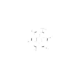 O=C(O[C@H]1[C@H](OC(=O)C(F)(F)F)[C@H](OC(=O)C(F)(F)F)[C@@H](OC(=O)C(F)(F)F)[C@H](OC(=O)C(F)(F)F)[C@H]1OC(=O)C(F)(F)F)C(F)(F)F